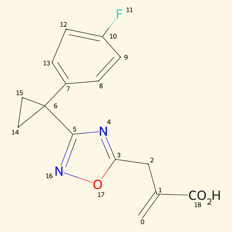 C=C(Cc1nc(C2(c3ccc(F)cc3)CC2)no1)C(=O)O